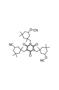 CC1(C)CC(C#N)CC(C)(Cn2c(=O)n(CC3(C)CC(OC#N)CC(C)(C)C3)c(=O)n(CC3(C)CC(OC#N)CC(C)(C)C3)c2=O)C1